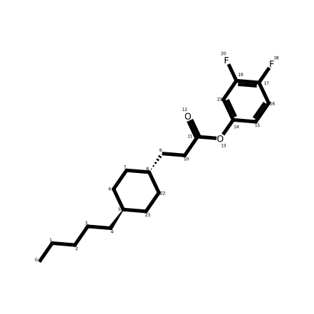 CCCCC[C@H]1CC[C@H](CCC(=O)Oc2ccc(F)c(F)c2)CC1